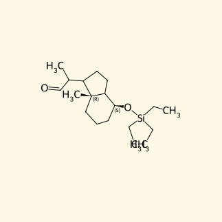 CC[Si](CC)(CC)O[C@H]1CCC[C@]2(C)C(C(C)C=O)CCC12